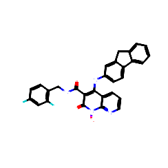 O=C(NCc1ccc(F)cc1F)c1c(Nc2ccc3c(c2)Cc2ccccc2-3)c2cccnc2n(O)c1=O